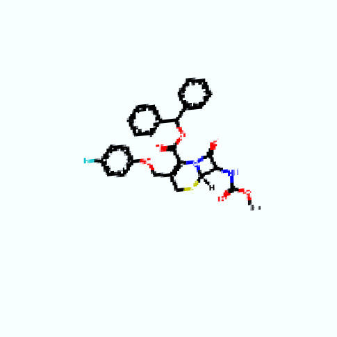 CC(C)(C)OC(=O)NC1C(=O)N2C(C(=O)OC(c3ccccc3)c3ccccc3)=C(COc3ccc(F)cc3)CS[C@@H]12